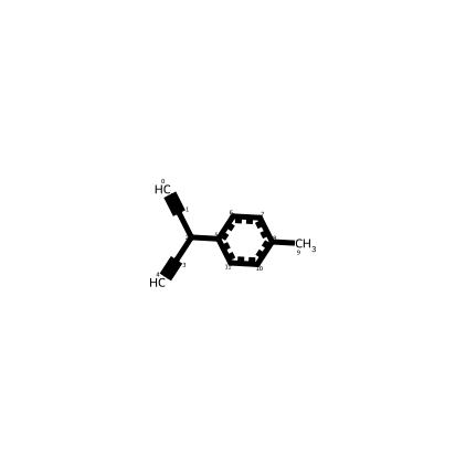 C#CC(C#C)c1ccc(C)cc1